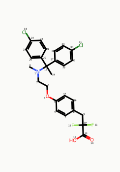 CN(CCOc1ccc(CC(F)(F)C(=O)O)cc1)C(C)(c1ccc(Cl)cc1)c1ccc(Cl)cc1